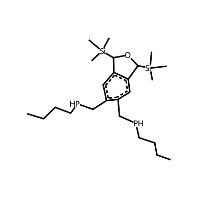 CCCCPCc1cc2c(cc1CPCCCC)C([Si](C)(C)C)OC2[Si](C)(C)C